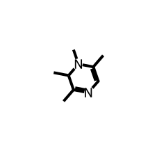 CC1=CN=C(C)C(C)N1C